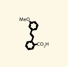 COc1cccc(/C=C/c2ccccc2C(=O)O)c1